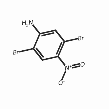 Nc1cc(Br)c([N+](=O)[O-])cc1Br